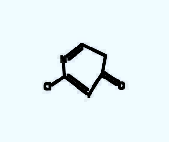 O=C1[C]=C(Cl)N=CC1